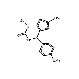 COc1ccc(C(NC(=O)OC(C)(C)C)c2ccc(OC)o2)cc1